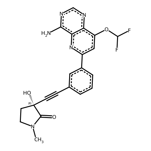 CN1CC[C@@](O)(C#Cc2cccc(-c3cc(OC(F)F)c4ncnc(N)c4n3)c2)C1=O